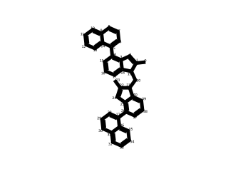 CC1=Cc2c(-c3cccc4ccccc34)cccc2C1CC1C(C)=Cc2c(-c3cccc4ccccc34)cccc21